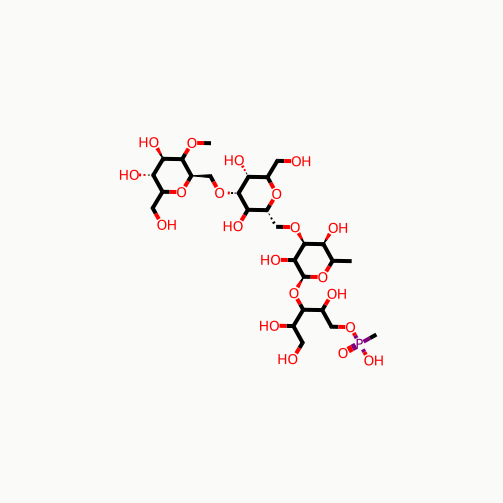 COC1[C@@H](CO[C@H]2C(O)[C@@H](CO[C@@H]3C(O)[C@H](OC(C(O)CO)C(O)COP(C)(=O)O)OC(C)[C@@H]3O)OC(CO)[C@H]2O)OC(CO)[C@H](O)[C@H]1O